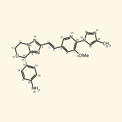 COc1cc(/C=C/c2nc3n(n2)CCO[C@H]3c2ccc(N)cc2)cnc1-n1cnc(C)c1